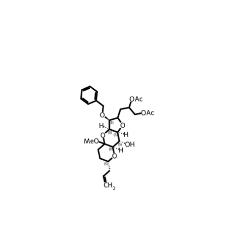 C=CC[C@@H]1CCC2(OC)O[C@@H]3[C@@H](OC(CC(COC(C)=O)OC(C)=O)[C@@H]3OCc3ccccc3)[C@H](O)[C@H]2O1